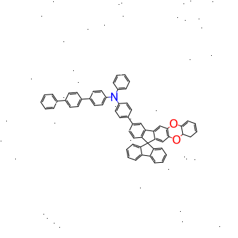 C1=CCC2Oc3cc4c(cc3OC2=C1)-c1cc(-c2ccc(N(c3ccccc3)c3ccc(-c5ccc(-c6ccccc6)cc5)cc3)cc2)ccc1C41c2ccccc2-c2ccccc21